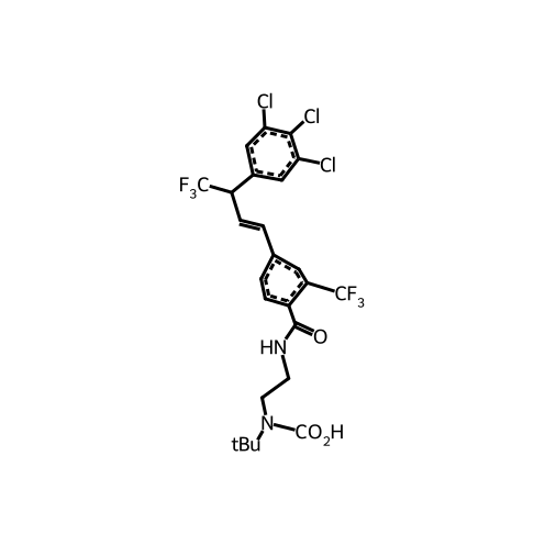 CC(C)(C)N(CCNC(=O)c1ccc(/C=C/C(c2cc(Cl)c(Cl)c(Cl)c2)C(F)(F)F)cc1C(F)(F)F)C(=O)O